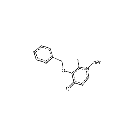 CCCn1ccc(=O)c(OCc2ccccc2)c1C